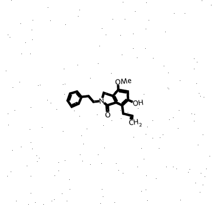 C=CCc1c(O)cc(OC)c2c1C(=O)N(CCc1ccccc1)C2